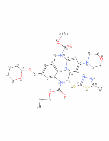 C=CCOC(=O)Nc1cc(COC2CCCCO2)cc(CN(C(=O)OC(C)(C)C)c2cc(N3CCOCC3)cc(CSc3nnc(CC)s3)n2)c1